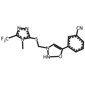 Cn1c(SCN2C=C(c3cccc(C#N)c3)ON2)nnc1C(F)(F)F